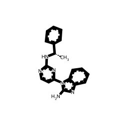 C[C@H](Nc1nccc(-n2c(N)nc3ccccc32)n1)c1ccccc1